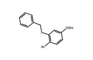 COc1ccc(C(C)=O)c(SCc2ccccc2)c1